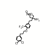 NC(CO)(CCc1ccc(OCCCc2ccc(Cl)c(Cl)c2)c(C(F)(F)F)c1)COP=O